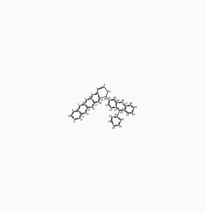 C1=Cc2cc3cc4cc5ccccc5cc4cc3cc2C(c2ccc3c(-c4ccccc4)c4ccccc4cc3c2)C1